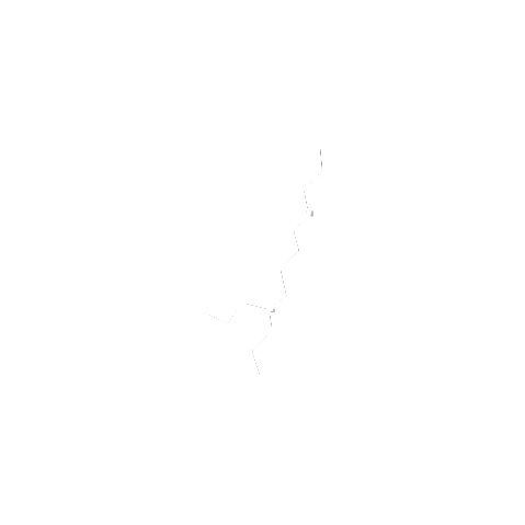 CCCNCCCC[SiH](OCC)OCC